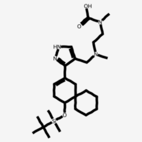 CN(CCN(C)C(=O)O)Cc1c[nH]nc1C1=CCC(O[Si](C)(C)C(C)(C)C)C2(CCCCC2)C1